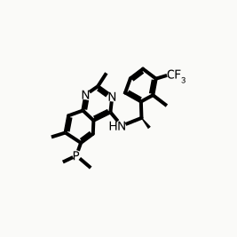 Cc1nc(N[C@H](C)c2cccc(C(F)(F)F)c2C)c2cc(P(C)C)c(C)cc2n1